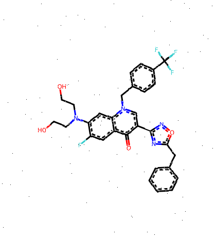 O=c1c(-c2noc(Cc3ccccc3)n2)cn(Cc2ccc(C(F)(F)F)cc2)c2cc(N(CCO)CCO)c(F)cc12